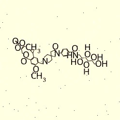 CCOc1cc(C(=O)OCc2oc(=O)oc2C)c(C2CC2)cc1CN1CCC2(CC1)CC(=O)N(c1ccc(C(=O)NCC(O)C(O)C(O)C(O)CO)cc1)C2